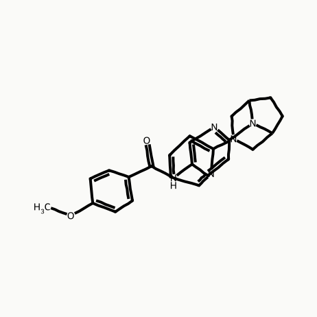 COc1ccc(C(=O)Nc2ccc(N3C4CCC3CN(c3ccccn3)C4)nc2)cc1